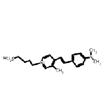 Cc1c[n+](CCCCS(=O)(=O)O)ccc1/C=C/c1ccc(N(C)C)cc1